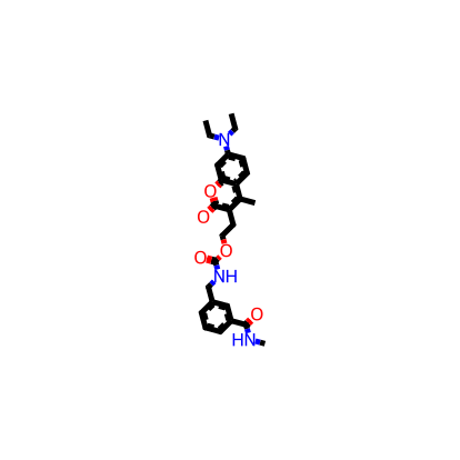 CCN(CC)c1ccc2c(C)c(CCOC(=O)NCc3cccc(C(=O)NC)c3)c(=O)oc2c1